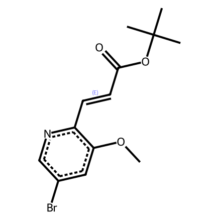 COc1cc(Br)cnc1/C=C/C(=O)OC(C)(C)C